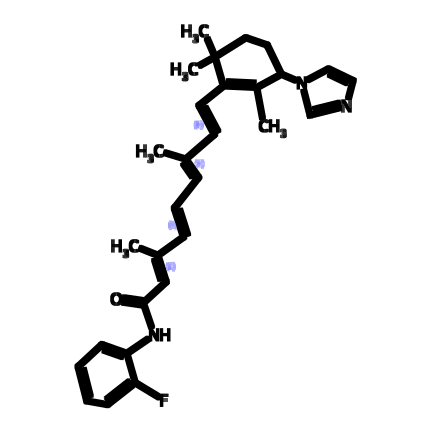 CC1=C(/C=C/C(C)=C/C=C/C(C)=C/C(=O)Nc2ccccc2F)C(C)(C)CCC1n1ccnc1